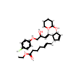 CCOC(=O)CCCC=CC[C@H]1C=C[C@@H](OC2CCCCO2)[C@@H]1C=CC(O)COc1ccc(F)cc1